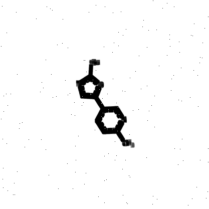 Cc1ccc(-c2cnc(C(C)(C)C)o2)cn1